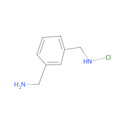 NCc1cccc(CNCl)c1